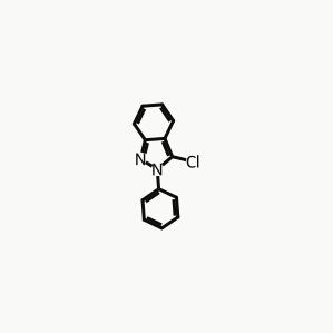 Clc1c2ccccc2nn1-c1ccccc1